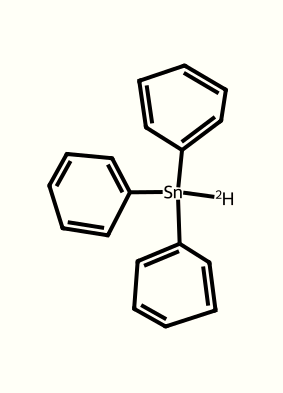 [2H][Sn]([c]1ccccc1)([c]1ccccc1)[c]1ccccc1